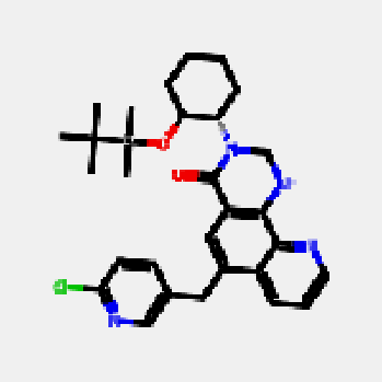 CC(C)(C)[Si](C)(C)O[C@H]1CCCC[C@@H]1N1CNc2c(cc(Cc3ccc(Cl)nc3)c3cccnc23)C1=O